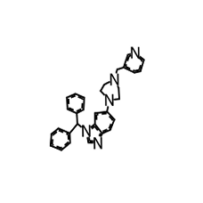 c1ccc(C(c2ccccc2)n2cnc3ccc(N4CCN(Cc5cccnc5)CC4)cc32)cc1